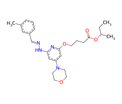 CCC(C)OC(=O)CCCOc1cc(N2CCOCC2)cc(NN=Cc2cccc(C)c2)n1